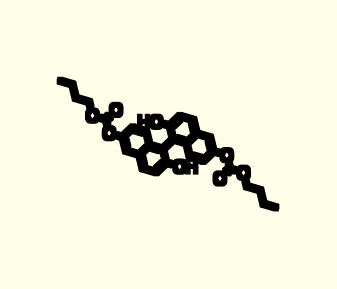 CCCCOC(=O)Oc1ccc2c(-c3c(O)ccc4cc(OC(=O)OCCCC)ccc34)c(O)ccc2c1